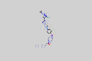 Cl.Cn1c(-c2cn(C3CC3)nc2C(F)(F)F)cnc1C(=O)Nc1ccc(C(=O)N2CCN(C(=O)CCN)CC2)c(Cl)c1